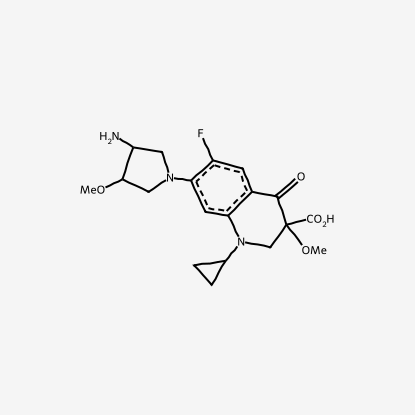 COC1CN(c2cc3c(cc2F)C(=O)C(OC)(C(=O)O)CN3C2CC2)CC1N